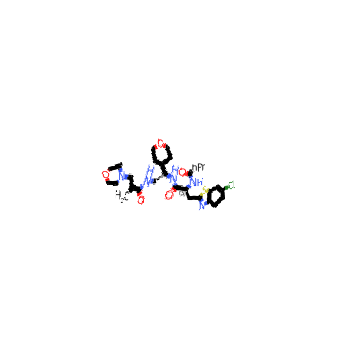 C=C(CN1CCOCC1)C(=O)NC[C@@H](NC(=O)[C@H](Cc1nc2ccc(Cl)cc2s1)NC(=O)CCC)C1CCOCC1